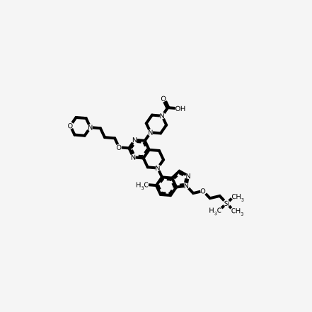 Cc1ccc2c(cnn2COCC[Si](C)(C)C)c1N1CCc2c(nc(OCCCN3CCOCC3)nc2N2CCN(C(=O)O)CC2)C1